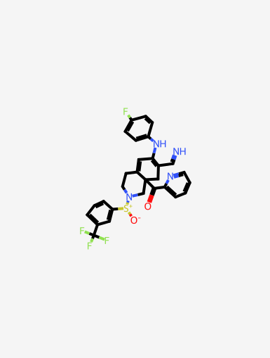 N=CC1=C(Nc2ccc(F)cc2)C=C2CCN([S+]([O-])c3cccc(C(F)(F)F)c3)CC2(C(=O)c2ccccn2)C1